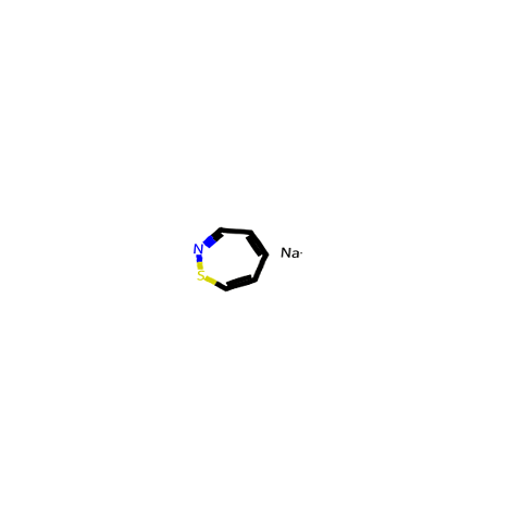 C1=CC=NSC=C1.[Na]